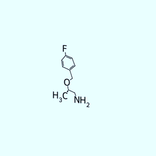 C[C@H](CN)OCc1ccc(F)cc1